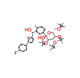 Cc1ccc(C2(O)O[C@H](CO[Si](C)(C)C)[C@@H](O[Si](C)(C)C)[C@H](O[Si](C)(C)C)[C@H]2O[Si](C)(C)C)cc1C(O)c1ccc(-c2ccc(F)cc2)s1